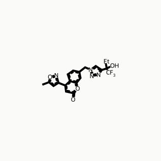 CCC(O)(c1cn(Cc2ccc3c(-c4cc(C)on4)cc(=O)oc3c2)nn1)C(F)(F)F